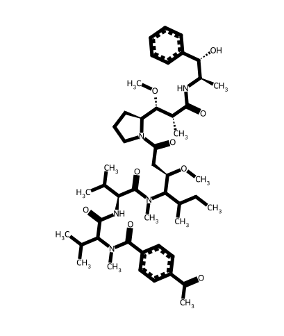 CCC(C)C([C@@H](CC(=O)N1CCC[C@H]1[C@H](OC)[C@@H](C)C(=O)N[C@H](C)[C@@H](O)c1ccccc1)OC)N(C)C(=O)[C@@H](NC(=O)C(C(C)C)N(C)C(=O)c1ccc(C(C)=O)cc1)C(C)C